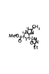 CCc1nnc(-c2cc(C(=O)OC)cn3cc(C)nc23)o1